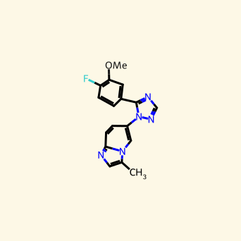 COc1cc(-c2ncnn2-c2ccc3ncc(C)n3c2)ccc1F